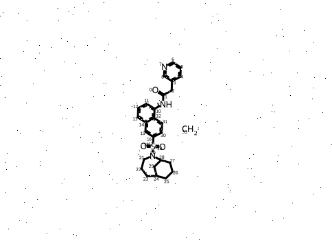 O=C(Cc1cccnc1)Nc1cccc2cc(S(=O)(=O)N3CCCC4CCCC3C4)ccc12.[CH2]